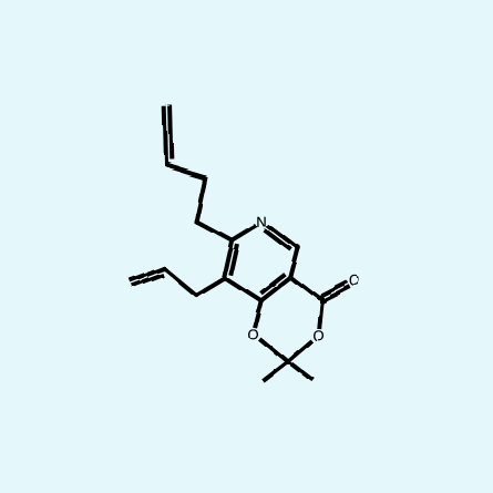 C=CCCc1ncc2c(c1CC=C)OC(C)(C)OC2=O